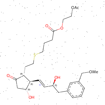 COCc1cccc(C[C@H](O)/C=C/[C@H]2[C@H](O)CC(=O)[C@@H]2CCSCCCC(=O)OCCOC(C)=O)c1